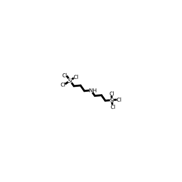 Cl[Si](Cl)(Cl)CCCNCCC[Si](Cl)(Cl)Cl